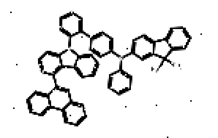 CC1(C)c2ccccc2-c2ccc(N(c3ccccc3)c3ccc(-c4ccccc4-n4c5ccccc5c5c(-c6cc7ccccc7c7ccccc67)cccc54)cc3)cc21